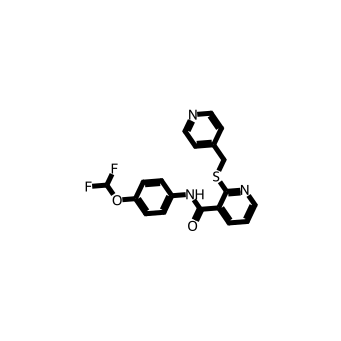 O=C(Nc1ccc(OC(F)F)cc1)c1cccnc1SCc1ccncc1